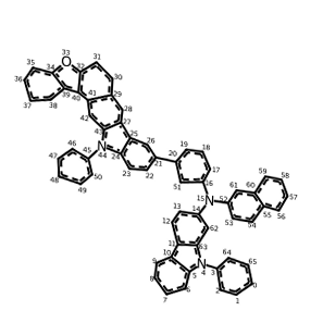 c1ccc(-n2c3ccccc3c3ccc(N(c4cccc(-c5ccc6c(c5)c5cc7ccc8oc9ccccc9c8c7cc5n6-c5ccccc5)c4)c4ccc5ccccc5c4)cc32)cc1